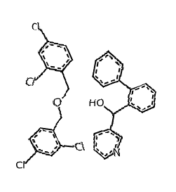 Clc1ccc(COCc2ccc(Cl)cc2Cl)c(Cl)c1.OC(c1cccnc1)c1ccccc1-c1ccccc1